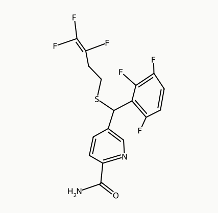 NC(=O)c1ccc(C(SCCC(F)=C(F)F)c2c(F)ccc(F)c2F)cn1